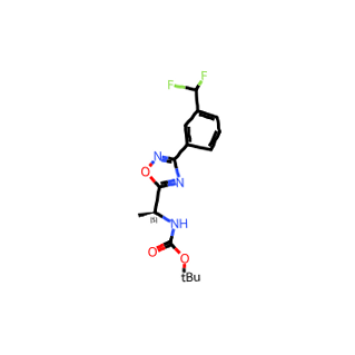 C[C@H](NC(=O)OC(C)(C)C)c1nc(-c2cccc(C(F)F)c2)no1